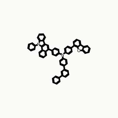 c1ccc(-c2cccc(-c3ccc(N(c4ccc(-c5cc6c7ccccc7n(-c7ccccc7)c6c6ccccc56)cc4)c4ccc(-c5cccc6c5oc5ccccc56)cc4)cc3)c2)cc1